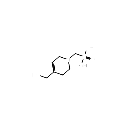 CCC1=CCN(CP(=O)(O)O)CC1